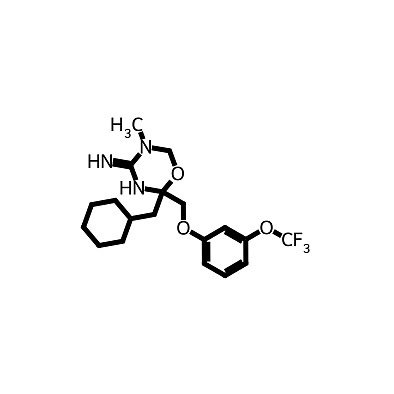 CN1COC(COc2cccc(OC(F)(F)F)c2)(CC2CCCCC2)NC1=N